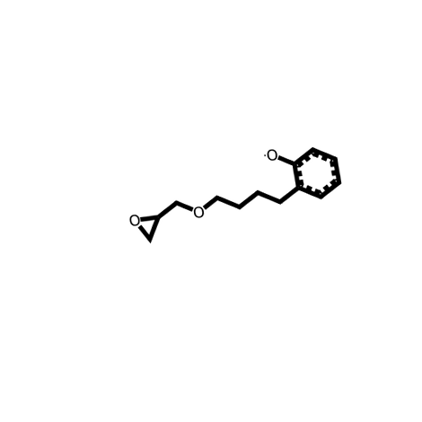 [O]c1ccccc1CCCCOCC1CO1